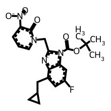 CC(C)(C)OC(=O)n1c(Cn2cccc([N+](=O)[O-])c2=O)nc2c(CC3CC3)cc(F)cc21